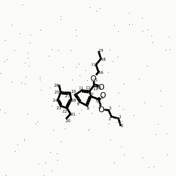 CCCCOC(=O)c1ccccc1C(=O)OCCCC.CCc1ccc(C)cc1